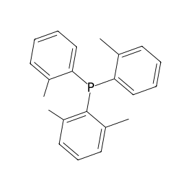 Cc1ccccc1P(c1ccccc1C)c1c(C)cccc1C